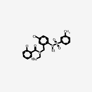 CCN(c1ccc(Cl)cc1CN(CC(C)(C)C)C(=O)c1ccccc1Cl)S(=O)(=O)c1cccc(C)c1